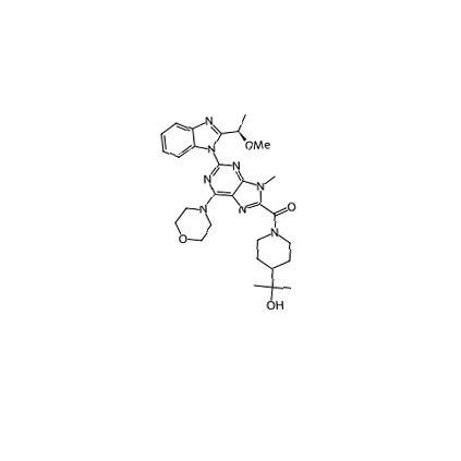 CO[C@H](C)c1nc2ccccc2n1-c1nc(N2CCOCC2)c2nc(C(=O)N3CCC(C(C)(C)O)CC3)n(C)c2n1